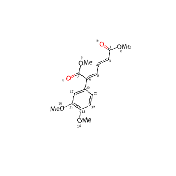 COC(=O)C=CC=C(C(=O)OC)c1ccc(OC)c(OC)c1